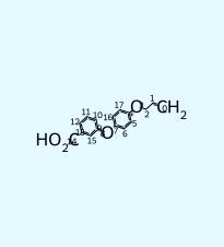 C=CCOc1ccc(Oc2cccc(C(=O)O)c2)cc1